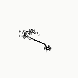 C[C@H](Cn1cnc2c(N)ncnc21)OCP(=O)(O)OCCOCCCCCCCCCCCC#Cc1c(F)c(F)c(F)c(F)c1F